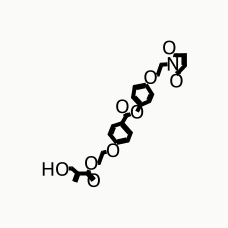 C=C(CO)C(=O)OCCOc1ccc(C(=O)Oc2ccc(OCCN3C(=O)C=CC3=O)cc2)cc1